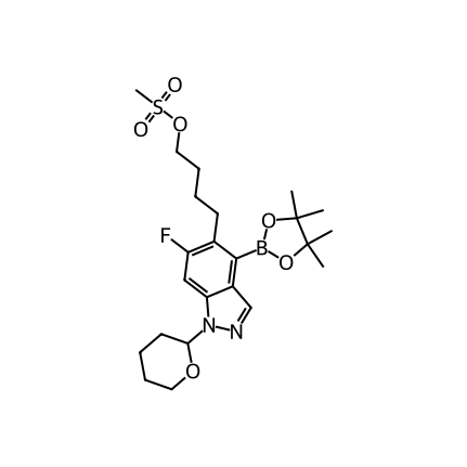 CC1(C)OB(c2c(CCCCOS(C)(=O)=O)c(F)cc3c2cnn3C2CCCCO2)OC1(C)C